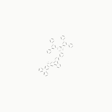 CC1(C)c2cc3c4ccccc4c4ccccc4c3cc2-c2cc3c4ccccc4c4cc(-c5cccc(-c6nc(-c7cc(-c8ccccc8)cc(-c8ccccc8)c7)cc(-c7cc(-c8ccccc8)cc(-c8ccccc8)c7)n6)c5)ccc4c3cc21